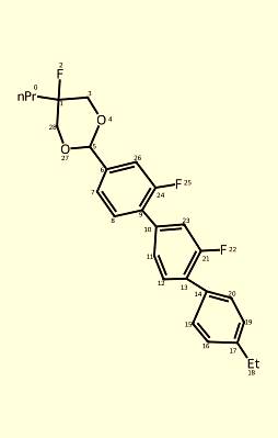 CCCC1(F)COC(c2ccc(-c3ccc(-c4ccc(CC)cc4)c(F)c3)c(F)c2)OC1